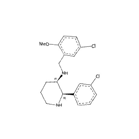 COc1ccc(Cl)cc1CN[C@@H]1CCCN[C@@H]1c1cccc(Cl)c1